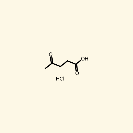 CC(=O)CCC(=O)O.Cl